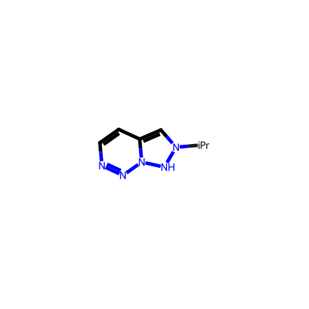 CC(C)N1C=C2C=CN=NN2N1